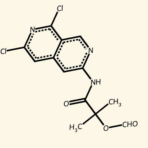 CC(C)(OC=O)C(=O)Nc1cc2cc(Cl)nc(Cl)c2cn1